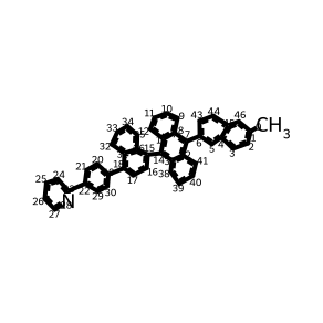 Cc1ccc2cc(-c3c4ccccc4c(-c4ccc(-c5ccc(-c6ccccn6)cc5)c5ccccc45)c4ccccc34)ccc2c1